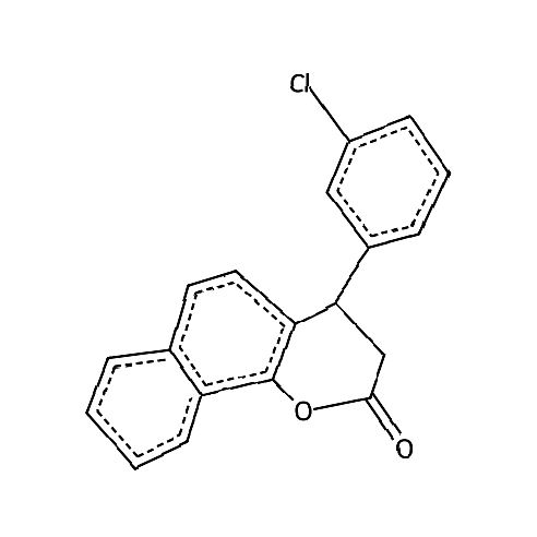 O=C1CC(c2cccc(Cl)c2)c2ccc3ccccc3c2O1